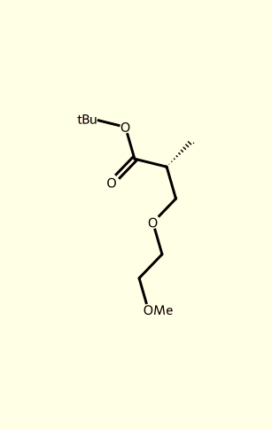 [CH2][C@H](COCCOC)C(=O)OC(C)(C)C